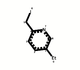 CCc1ccc(CI)nc1